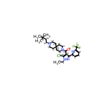 CCn1nc(-c2cccc(C(F)(F)F)n2)c(C(=O)N2CCC3(CCN(CCC(C)(C)C)CC3)CC2)c1Cl